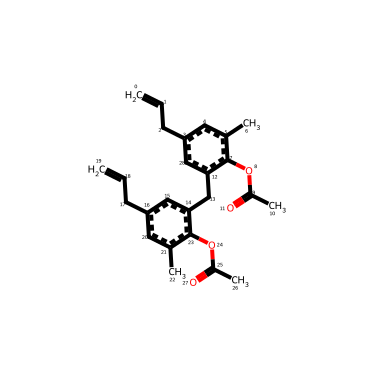 C=CCc1cc(C)c(OC(C)=O)c(Cc2cc(CC=C)cc(C)c2OC(C)=O)c1